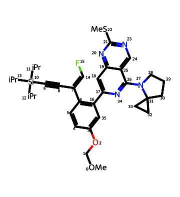 COCOc1ccc(/C(C#C[Si](C(C)C)(C(C)C)C(C)C)=C/F)c(-c2cc3nc(SC)ncc3c(N3CCCC34CC4)n2)c1